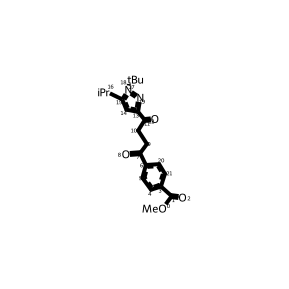 COC(=O)c1ccc(C(=O)CCC(=O)c2cc(C(C)C)n(C(C)(C)C)n2)cc1